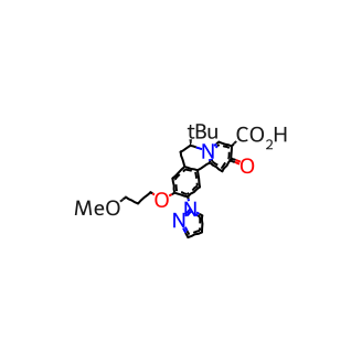 COCCCOc1cc2c(cc1-n1cccn1)-c1cc(=O)c(C(=O)O)cn1[C@H](C(C)(C)C)C2